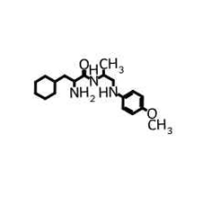 COc1ccc(NCC(C)NC(=O)C(N)CC2CCCCC2)cc1